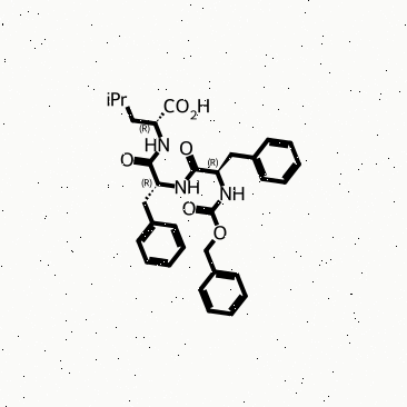 CC(C)C[C@@H](NC(=O)[C@@H](Cc1ccccc1)NC(=O)[C@@H](Cc1ccccc1)NC(=O)OCc1ccccc1)C(=O)O